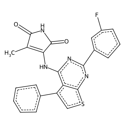 CC1=C(Nc2nc(-c3cccc(F)c3)nc3scc(-c4ccccc4)c23)C(=O)NC1=O